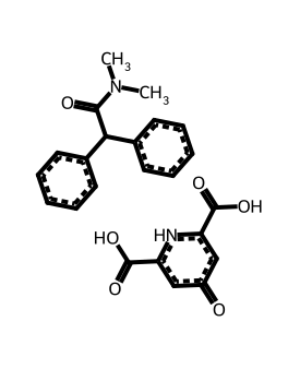 CN(C)C(=O)C(c1ccccc1)c1ccccc1.O=C(O)c1cc(=O)cc(C(=O)O)[nH]1